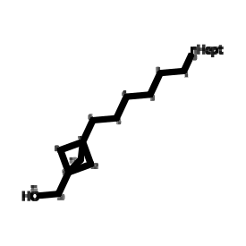 CCCCCCCCCCCCCC12CC(CO)(C1)C2